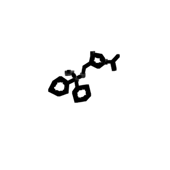 C=C(C)n1cnc(CO[Si](c2ccccc2)(c2ccccc2)C(C)(C)C)c1